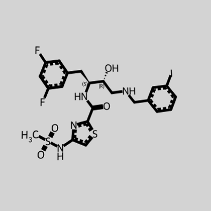 CS(=O)(=O)Nc1csc(C(=O)N[C@@H](Cc2cc(F)cc(F)c2)[C@H](O)CNCc2cccc(I)c2)n1